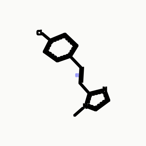 Cn1ccnc1/C=C/c1ccc(Cl)cc1